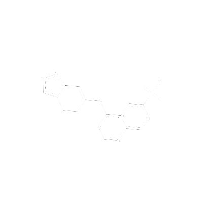 NS(=O)(=O)c1ccc2nccc(NC3=Cc4[nH]ncc4CC3)c2c1